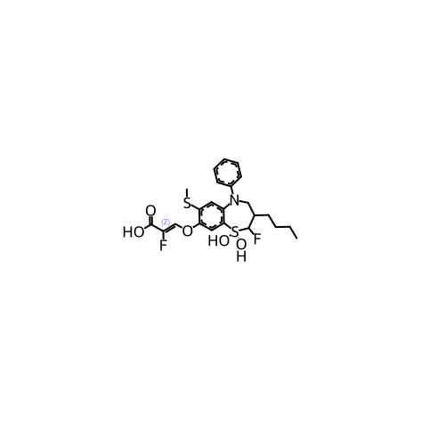 CCCCC1CN(c2ccccc2)c2cc(SC)c(O/C=C(\F)C(=O)O)cc2S(O)(O)C1F